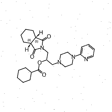 O=C(OC(CN1CCN(c2ccccn2)CC1)CN1C(=O)[C@H]2CCCC[C@H]2C1=O)C1CCCCC1